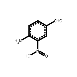 Nc1ccc(C=O)cc1[N+](=O)O